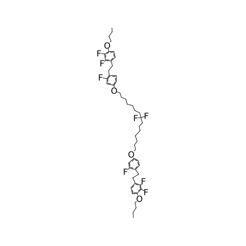 CCCCOc1ccc(CCc2ccc(OCCCCCCCC(F)(F)CCCCCCCOc3ccc(CCc4ccc(OCCCC)c(F)c4F)c(F)c3)cc2F)c(F)c1F